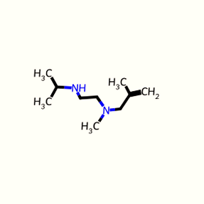 C=C(C)CN(C)CCNC(C)C